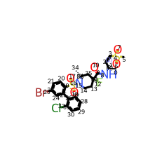 C[C@H](/C=C\S(C)(=O)=O)NC(=O)[C@]1(F)CCN(S(=O)(=O)c2ccc(Br)cc2-c2ccccc2Cl)[C@H](C)C1